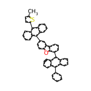 Cc1ccc(-c2c3ccccc3c(-c3ccc4oc5c(-c6c7c#cccc7c(-c7ccccc7)c7ccccc67)cccc5c4c3)c3ccccc23)s1